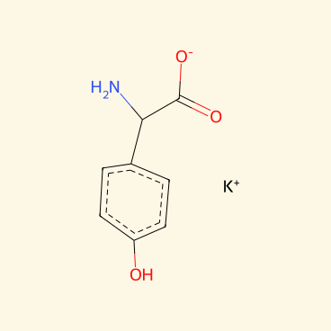 NC(C(=O)[O-])c1ccc(O)cc1.[K+]